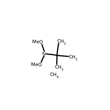 C.CO[Si](OC)C(C)(C)C